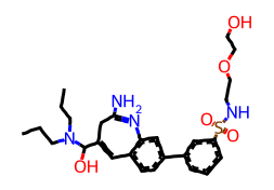 CCCN(CCC)C(O)C1=Cc2ccc(-c3cccc(S(=O)(=O)NCCOCCO)c3)cc2N=C(N)C1